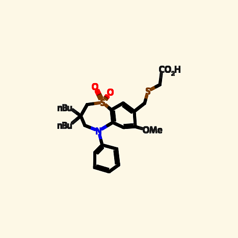 CCCCC1(CCCC)CN(c2ccccc2)c2cc(OC)c(CSCC(=O)O)cc2S(=O)(=O)C1